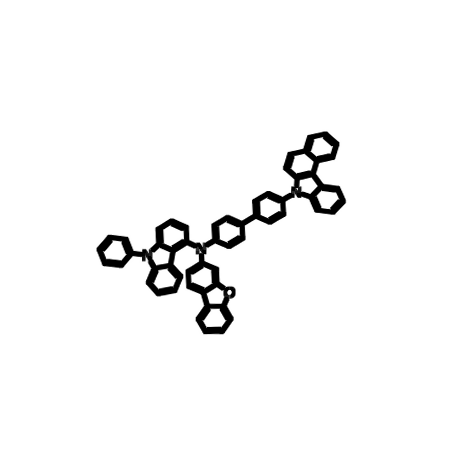 c1ccc(-n2c3ccccc3c3c(N(c4ccc(-c5ccc(-n6c7ccccc7c7c8ccccc8ccc76)cc5)cc4)c4ccc5c(c4)oc4ccccc45)cccc32)cc1